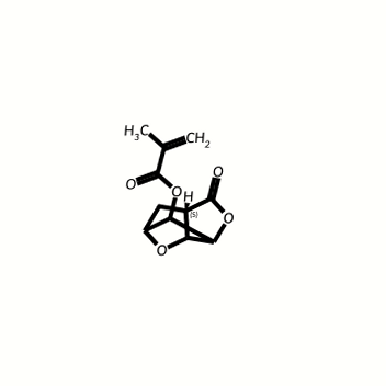 C=C(C)C(=O)OC1C2C[C@@H]3C(=O)OC1C3O2